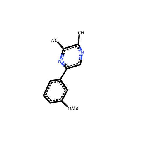 COc1cccc(-c2cnc(C#N)c(C#N)n2)c1